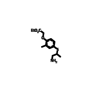 CCOC(=O)COc1ccc(SC(C)CN)cc1C